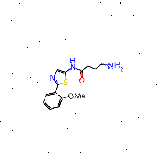 COc1ccccc1-c1ncc(NC(=O)CCCN)s1